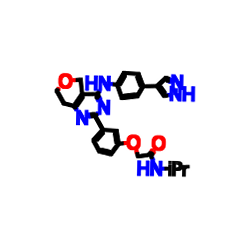 CC(C)NC(=O)COc1cccc(-c2nc3c(c(Nc4ccc(-c5cn[nH]c5)cc4)n2)COCC3)c1